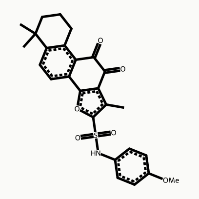 COc1ccc(NS(=O)(=O)c2oc3c(c2C)C(=O)C(=O)c2c-3ccc3c2CCCC3(C)C)cc1